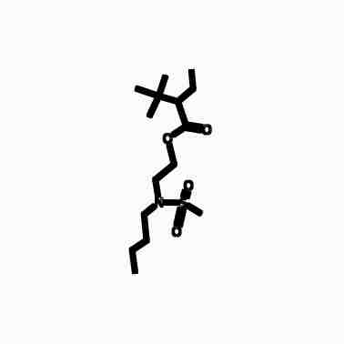 CCCCN(CCOC(=O)C(CC)C(C)(C)C)S(C)(=O)=O